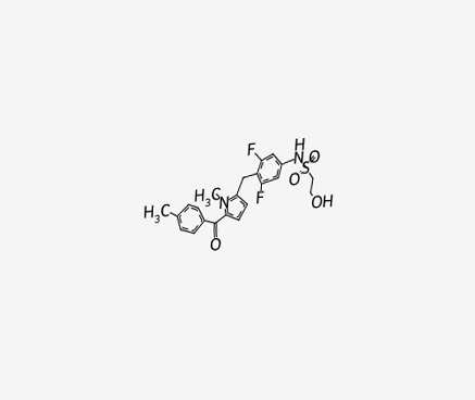 Cc1ccc(C(=O)c2ccc(Cc3c(F)cc(NS(=O)(=O)CCO)cc3F)n2C)cc1